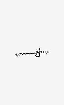 C=CCCCCCCCCN1CCCC[C@H](NC(=O)O)C1=O